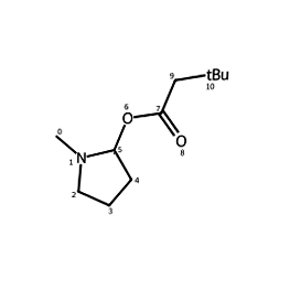 CN1CCC[C]1OC(=O)CC(C)(C)C